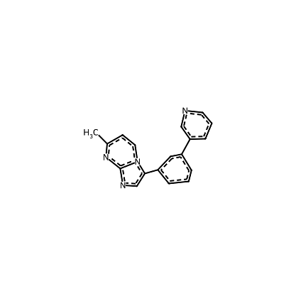 Cc1ccn2c(-c3cccc(-c4cccnc4)c3)cnc2n1